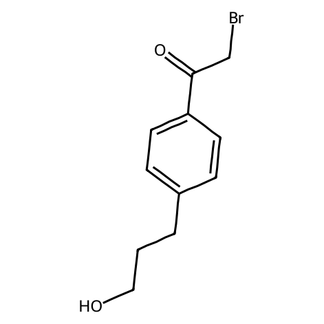 O=C(CBr)c1ccc(CCCO)cc1